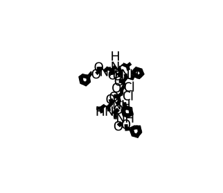 CC(C)C[C@H](NC(=O)CNC(=O)OCc1ccccc1)C(=O)N[C@@H](Cc1ccccc1)C(=O)C(Cl)C(=O)C(Cl)C(=O)[C@H](Cc1ccccc1)NC(=O)[C@H](CC(C)C)NC(=O)CNC(=O)OCc1ccccc1